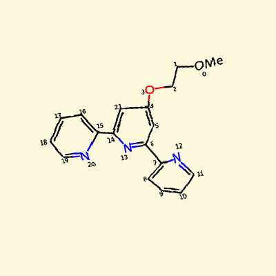 COCCOc1cc(-c2ccccn2)nc(-c2ccccn2)c1